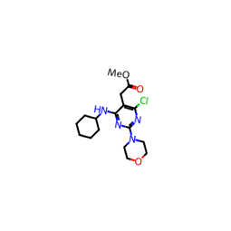 COC(=O)Cc1c(Cl)nc(N2CCOCC2)nc1NC1CCCCC1